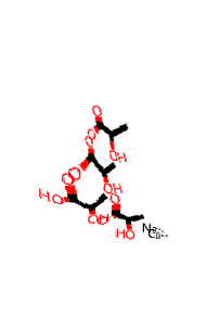 CC(O)C(=O)O.CC(O)C(=O)[O-].CC(O)C(=O)[O-].CC(O)C(=O)[O-].[Ca+2].[Na+]